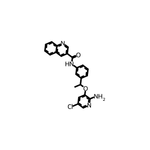 CC(Oc1cc(Cl)cnc1N)c1cccc(NC(=O)c2cnc3ccccc3c2)c1